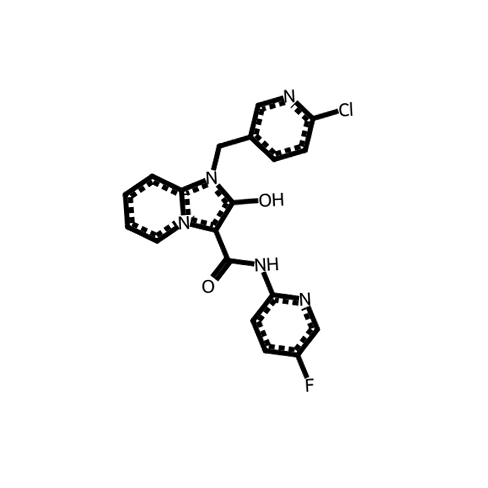 O=C(Nc1ccc(F)cn1)c1c(O)n(Cc2ccc(Cl)nc2)c2cccc[n+]12